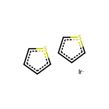 [Ir].c1ccsc1.c1ccsc1